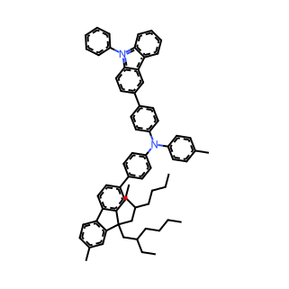 CCCCC(CC)CC1(CC(CC)CCCC)c2cc(C)ccc2-c2ccc(-c3ccc(N(c4ccc(C)cc4)c4ccc(-c5ccc6c(c5)c5ccccc5n6-c5ccccc5)cc4)cc3)cc21